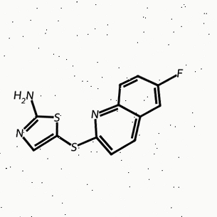 Nc1ncc(Sc2ccc3cc(F)ccc3n2)s1